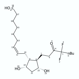 CCCCC(F)(F)C(=O)CC[C@@H]1[C@@H](C/C=C\CCCCCC(=O)O)[C@@H](O)C[C@H]1O